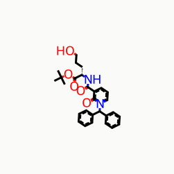 CC(C)(C)OC(=O)[C@H](CCCO)NC(=O)c1cccn(C(c2ccccc2)c2ccccc2)c1=O